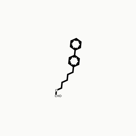 O=[C]OCCCCCc1ccc(-c2ccccc2)cc1